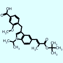 COc1cc(C(=O)O)ccc1Cc1cn(C(C)C)c2ccc(/C=C(\C)C(=O)OC(C)(C)C)cc12